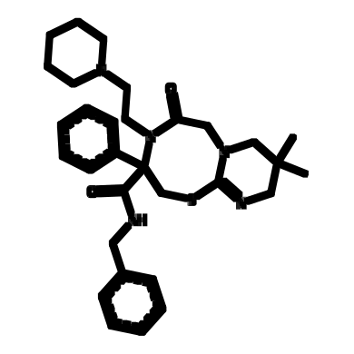 CC1(C)CN=C2SCC(C(=O)NCc3ccccc3)(c3ccccc3)N(CCN3CCCCC3)C(=O)CN2C1